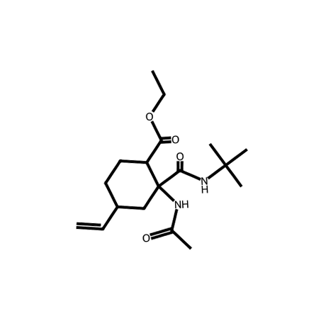 C=CC1CCC(C(=O)OCC)C(NC(C)=O)(C(=O)NC(C)(C)C)C1